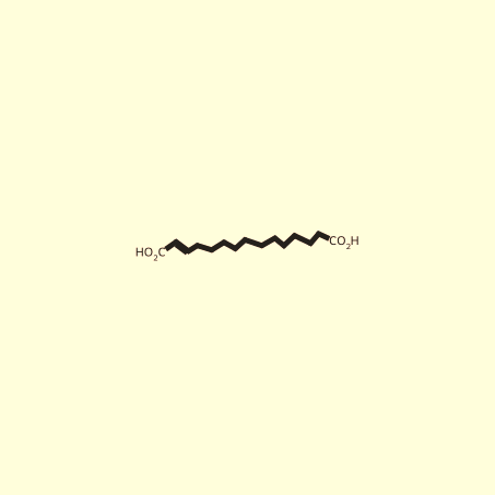 O=C(O)C=CCCCCCCCCCCCC(=O)O